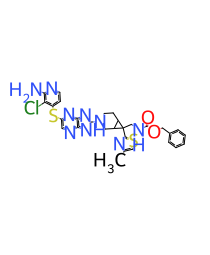 Cc1csc(C2(CNC(=O)OCc3ccccc3)C3CCN(c4nc5nc(Sc6ccnc(N)c6Cl)cnc5[nH]4)CC32)n1